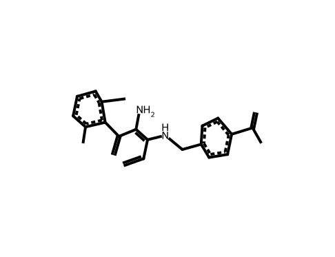 C=C/C(NCc1ccc(C(=C)C)cc1)=C(/N)C(=C)c1c(C)cccc1C